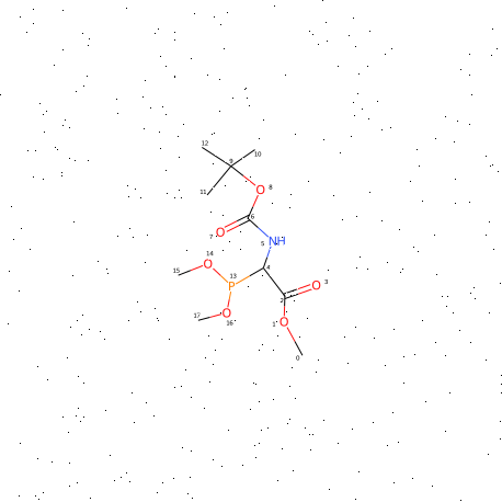 COC(=O)C(NC(=O)OC(C)(C)C)P(OC)OC